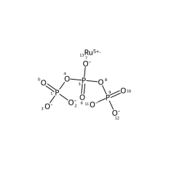 O=P([O-])([O-])OP(=O)([O-])OP(=O)([O-])[O-].[Ru+5]